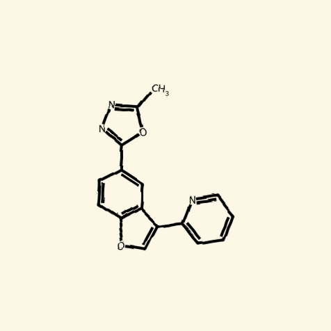 Cc1nnc(-c2ccc3occ(-c4ccccn4)c3c2)o1